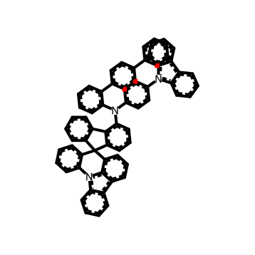 c1ccc(-c2ccc(-c3ccccc3N(c3ccc(-n4c5ccccc5c5ccccc54)cc3)c3cccc4c3-c3ccccc3C43c4ccccc4-n4c5ccccc5c5cccc3c54)cc2)cc1